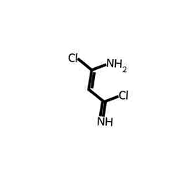 N=C(Cl)/C=C(\N)Cl